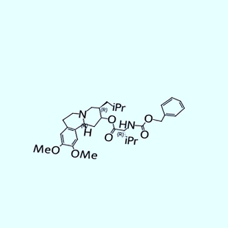 COc1cc2c(cc1OC)[C@H]1CC(OC(=O)[C@H](NC(=O)OCc3ccccc3)C(C)C)[C@H](CC(C)C)CN1CC2